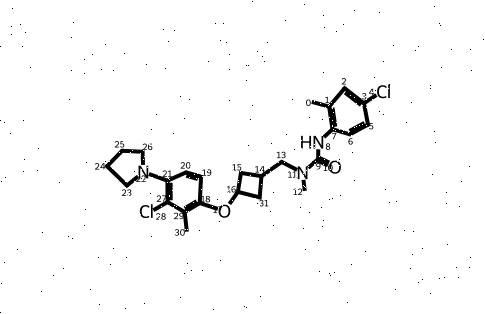 Cc1cc(Cl)ccc1NC(=O)N(C)CC1CC(Oc2ccc(N3CCCC3)c(Cl)c2C)C1